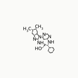 Cc1cc2nc(N)n(-c3cc(NC(CCO)c4ccccc4)ncn3)c2cc1C